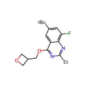 CCc1nc(OCC2COC2)c2cc(C(C)(C)C)cc(F)c2n1